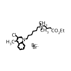 CCOC(=O)CCC[N+](C)(C)CCCCCC[n+]1cc(Cl)c(C)c2ccccc21.[Br-].[Br-]